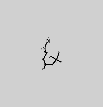 CC(CC=NO)CC(C)(C)C